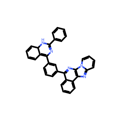 C1=CC2=C(c3cccc(-c4nc5c(nc6ccccn65)c5ccccc45)c3)N=C(c3ccccc3)NC2C=C1